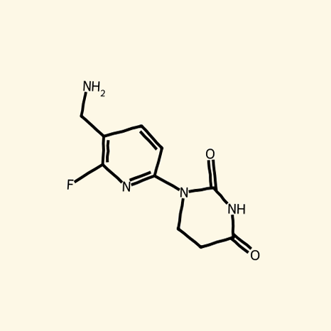 NCc1ccc(N2CCC(=O)NC2=O)nc1F